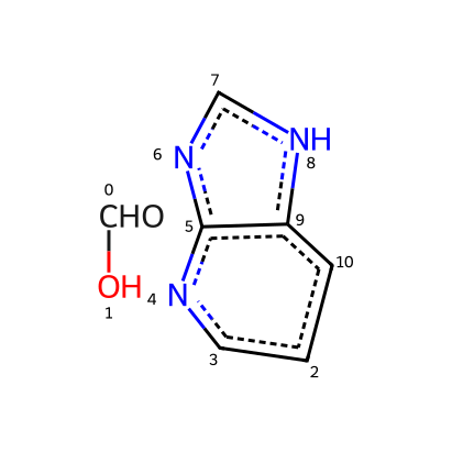 O=CO.c1cnc2nc[nH]c2c1